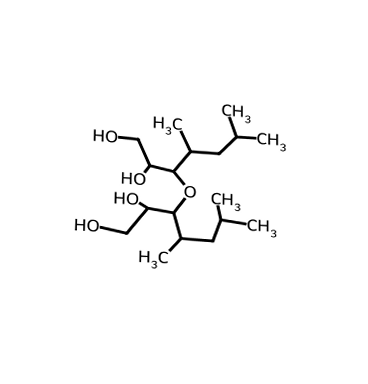 CC(C)CC(C)C(OC(C(C)CC(C)C)C(O)CO)C(O)CO